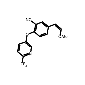 CO/C=C\c1ccc(Oc2ccc(C(F)(F)F)nc2)c(C#N)c1